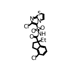 CCC1(C(=O)NS(=O)(=O)c2c(Cl)nc3sccn23)CCc2c(Cl)cccc21